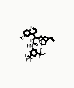 C=CC1CC23CC(C(NC(=S)Nc4cc(C(F)(F)F)cc(C(F)(F)F)c4)c4ccnc5ccc(OC)cc45)N2CCC13